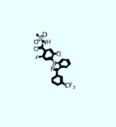 CS(=O)(=O)NC(=O)c1cc(Cl)c(-n2nc(-c3cccc(C(F)(F)F)c3)c3ccccc32)cc1F